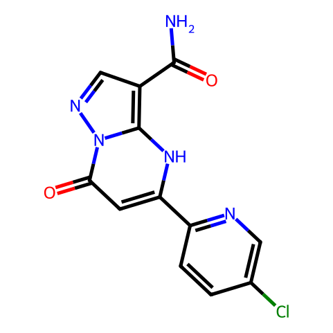 NC(=O)c1cnn2c(=O)cc(-c3ccc(Cl)cn3)[nH]c12